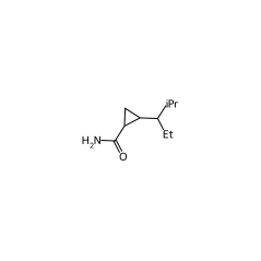 CCC(C(C)C)C1CC1C(N)=O